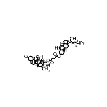 CC(C)CCCC(C)[C@H]1CC[C@H]2C3CC=C4C[C@@H](OC(=O)CCC(=O)OCC(=O)[C@]5(O)[C@@H](C)C[C@@H]6[C@H]7CCC8=CC(=O)C=C[C@@]8(C)[C@]7(F)C(O)C[C@]65C)CC[C@]4(C)[C@H]3CC[C@]12C